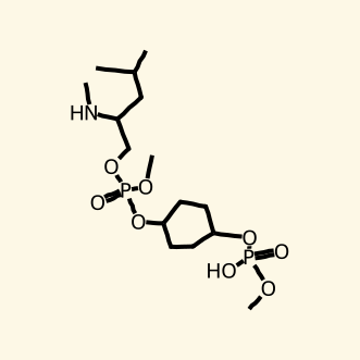 CNC(COP(=O)(OC)OC1CCC(OP(=O)(O)OC)CC1)CC(C)C